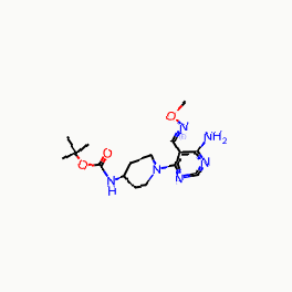 CO/N=C/c1c(N)ncnc1N1CCC(NC(=O)OC(C)(C)C)CC1